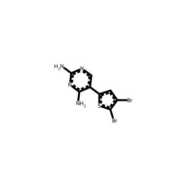 Nc1ncc(-c2cc(Br)c(Br)s2)c(N)n1